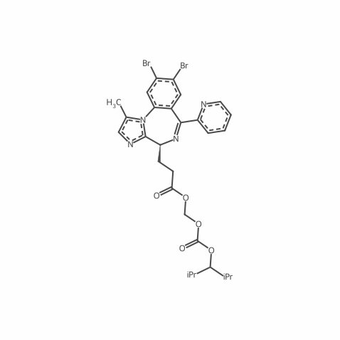 Cc1cnc2n1-c1cc(Br)c(Br)cc1C(c1ccccn1)=N[C@H]2CCC(=O)OCOC(=O)OC(C(C)C)C(C)C